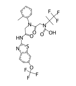 Cc1ccccc1N(CC(=O)Nc1nc2ccc(OC(F)(F)F)cc2s1)C(=O)CN(C(=O)O)C(C)(C)C(F)(F)F